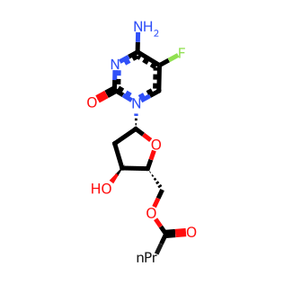 CCCC(=O)OC[C@H]1O[C@@H](n2cc(F)c(N)nc2=O)C[C@@H]1O